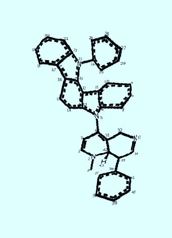 CN1C=CC(n2c3ccccc3c3c2ccc2c4ccccc4n(-c4ccccc4)c23)=C2CN=CC(c3ccccc3)[C@@H]21